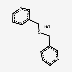 Cl.c1cncc(COCc2cccnc2)c1